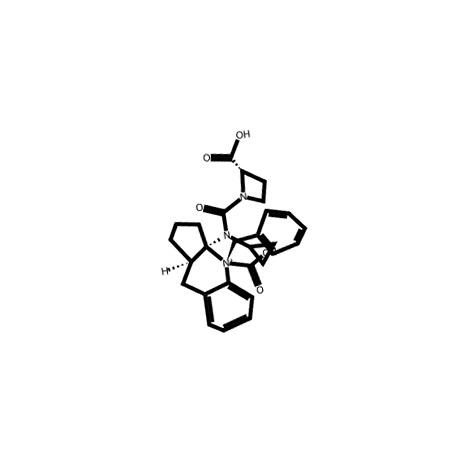 O=C(O)[C@@H]1CCN1C(=O)N(C1CC1)[C@@]12CCC[C@@H]1Cc1ccccc1[N@@+]2(Cc1ccccc1)C(=O)O